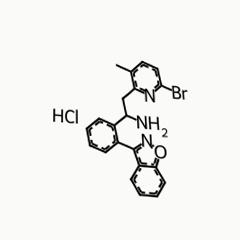 Cc1ccc(Br)nc1CC(N)c1ccccc1-c1noc2ccccc12.Cl